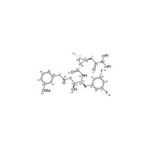 CCCN(CCC)C(=O)C[C@@H]1[C@@H](C)[C@H]1C(=O)N[C@@H](Cc1cc(F)cc(F)c1)[C@@H](O)CNCc1cccc(OC)c1